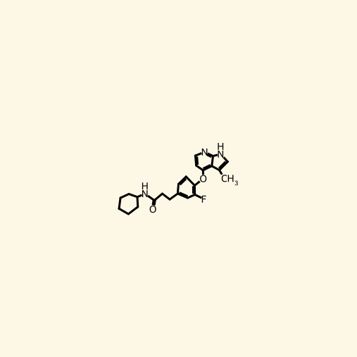 Cc1c[nH]c2nccc(Oc3ccc(CCC(=O)NC4CCCCC4)cc3F)c12